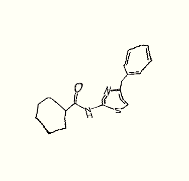 O=C(Nc1nc(-c2ccccc2)cs1)C1CCCCC1